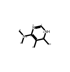 CC1=C(N(C)C)N=CNC1C